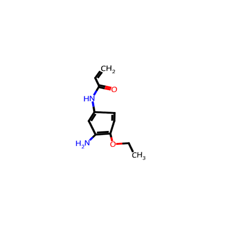 C=CC(=O)Nc1ccc(OCC)c(N)c1